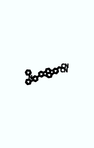 N#CC(C#N)=Cc1ccc2c(c1)-c1ccc3c4c(ccc-2c14)-c1cc(-c2ccc4c5ccccc5n(-c5ccccc5)c4c2)ccc1-3